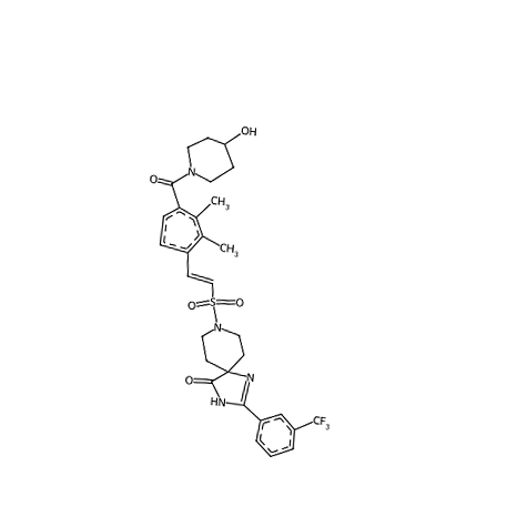 Cc1c(C=CS(=O)(=O)N2CCC3(CC2)N=C(c2cccc(C(F)(F)F)c2)NC3=O)ccc(C(=O)N2CCC(O)CC2)c1C